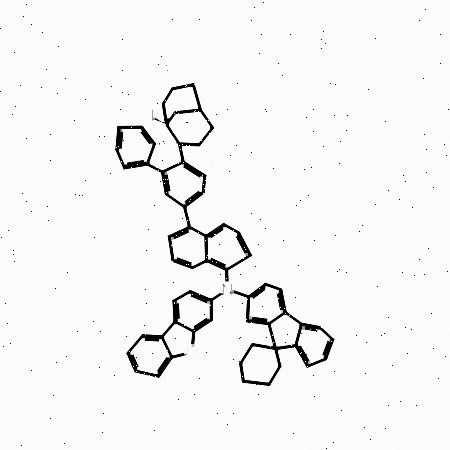 C[C@@H]1CC2C[C@@H](C1)[C@@]1(c3ccccc3-c3cc(-c4cccc5c(N(c6ccc7c(c6)C6(CCCCC6)c6ccccc6-7)c6ccc7c(c6)oc6ccccc67)cccc45)ccc31)[C@@H](C)C2